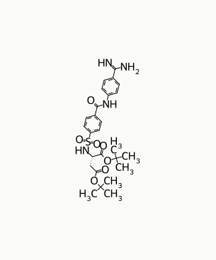 CC(C)(C)OC(=O)C[C@H](NS(=O)(=O)c1ccc(C(=O)Nc2ccc(C(=N)N)cc2)cc1)C(=O)OC(C)(C)C